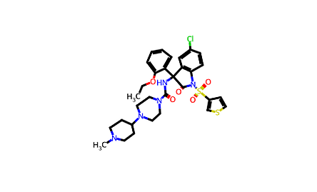 CCOc1ccccc1C1(NC(=O)N2CCN(C3CCN(C)CC3)CC2)C(=O)N(S(=O)(=O)c2ccsc2)c2ccc(Cl)cc21